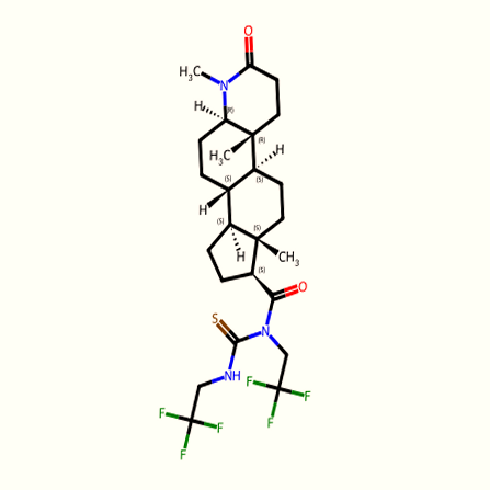 CN1C(=O)CC[C@]2(C)[C@H]3CC[C@]4(C)[C@@H](C(=O)N(CC(F)(F)F)C(=S)NCC(F)(F)F)CC[C@H]4[C@@H]3CC[C@@H]12